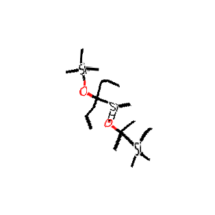 CCC(CC)(O[Si](C)(C)C)[SiH](C)OC(C)(C)[Si](C)(C)C